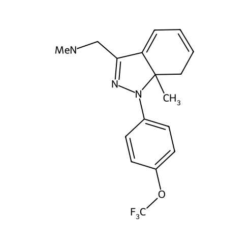 CNCC1=NN(c2ccc(OC(F)(F)F)cc2)C2(C)CC=CC=C12